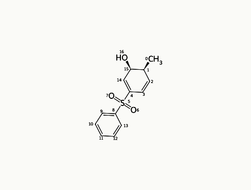 C[C@H]1C=CC(S(=O)(=O)c2ccccc2)=C[C@H]1O